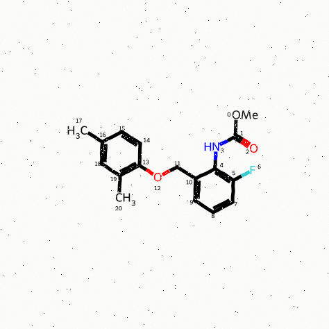 COC(=O)Nc1c(F)cccc1COc1ccc(C)cc1C